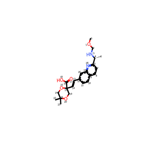 COCN[C@H](C)c1ccc2ccc(/C=C/C3(C(=O)O)COC(C)(C)CO3)cc2n1